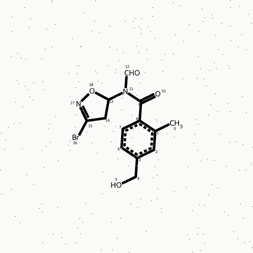 Cc1cc(CO)ccc1C(=O)N(C=O)C1CC(Br)=NO1